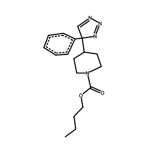 CCCCOC(=O)N1CCC(C2(c3ccccc3)C=NN=N2)CC1